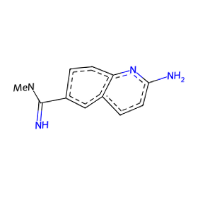 CNC(=N)c1ccc2nc(N)ccc2c1